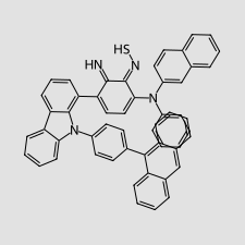 N=C1C(c2cccc3c4ccccc4n(-c4ccc(-c5c6ccccc6cc6ccccc56)cc4)c23)=CC=C(N(c2ccccc2)c2ccc3ccccc3c2)/C1=N/S